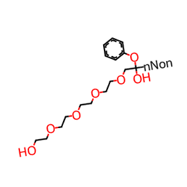 CCCCCCCCCC(O)(COCCOCCOCCOCCO)Oc1ccccc1